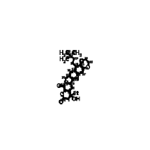 CC[C@@]1(O)CC(=O)Oc2c1cc1n(c2=O)Cc2cc3c(CC[Si](C)(C)C)c4c(cc3nc2-1)OCCO4